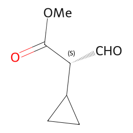 COC(=O)[C@H](C=O)C1CC1